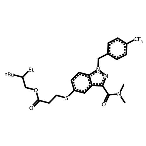 CCCCC(CC)COC(=O)CCSc1ccc2c(c1)c(C(=O)N(C)C)nn2Cc1ccc(C(F)(F)F)cc1